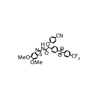 COc1cc2nc(NC(=O)C(Oc3ccc(C#N)cc3)c3ccc(S(=O)(=O)c4ccc(C(F)(F)F)cc4)cc3)sc2cc1OC